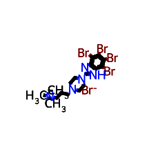 C[N+](C)(C)CCCN1CCN(c2nc3c(Br)c(Br)c(Br)c(Br)c3[nH]2)CC1.[Br-]